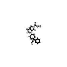 N#CC1(c2ccccc2)CCC(N2CCC3CN(C(=O)O)CC32)CC1